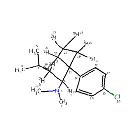 [2H]C([2H])(C(C)C)C([2H])(N(C)C)C1(c2ccc(Cl)cc2)C([2H])([2H])C([2H])([2H])C1([2H])[2H]